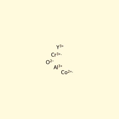 [Al+3].[Co+2].[Cr+3].[O-2].[Y+3]